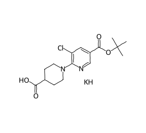 CC(C)(C)OC(=O)c1cnc(N2CCC(C(=O)O)CC2)c(Cl)c1.[KH]